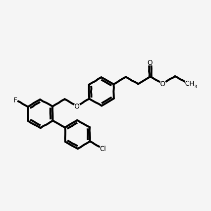 CCOC(=O)CCc1ccc(OCc2cc(F)ccc2-c2ccc(Cl)cc2)cc1